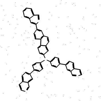 c1ccc2cc(-c3ccc4c(ccc5cc(N(c6ccc(-c7ccc8ccncc8c7)cc6)c6ccc(-c7ccc8ccncc8c7)cc6)ccc54)c3)ncc2c1